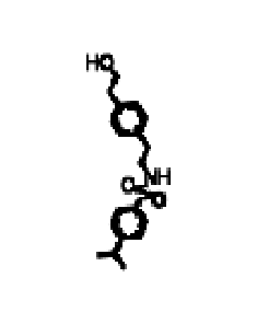 CC(C)c1ccc(S(=O)(=O)NCCc2ccc(CCO)cc2)cc1